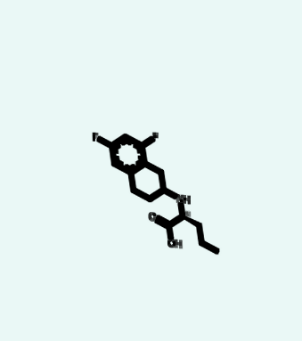 CCC[C@H](NC1CCc2cc(F)cc(F)c2C1)C(=O)O